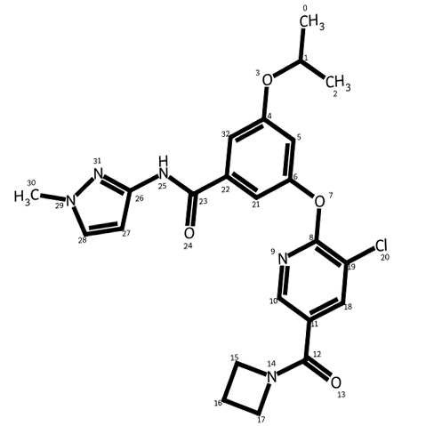 CC(C)Oc1cc(Oc2ncc(C(=O)N3CCC3)cc2Cl)cc(C(=O)Nc2ccn(C)n2)c1